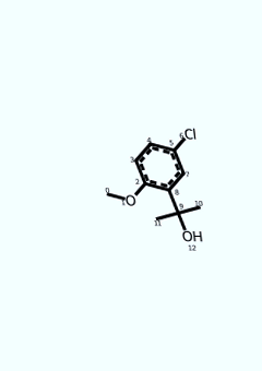 COc1ccc(Cl)cc1C(C)(C)O